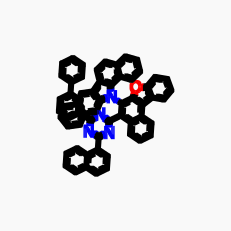 c1ccc(-c2cccc(-c3nc(-c4cccc5ccccc45)nc(-c4c(-n5c6cc7ccccc7cc6c6ccc7ccccc7c65)c5oc6ccccc6c5c5ccccc45)n3)c2)cc1